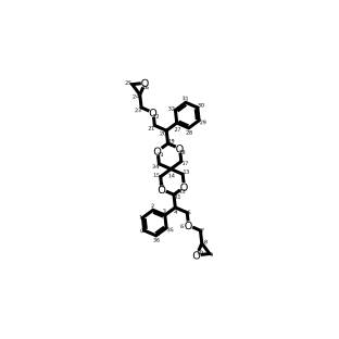 c1ccc(C(COCC2CO2)C2OCC3(CO2)COC(C(COCC2CO2)c2ccccc2)OC3)cc1